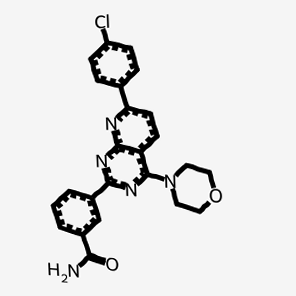 NC(=O)c1cccc(-c2nc(N3CCOCC3)c3ccc(-c4ccc(Cl)cc4)nc3n2)c1